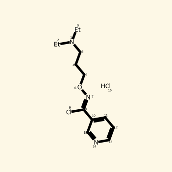 CCN(CC)CCCON=C(Cl)c1cccnc1.Cl